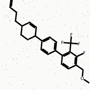 C=CCCC1C=CC(c2ccc(-c3ccc(COC)c(F)c3C(F)(F)F)cc2)CC1